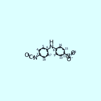 O=C=Nc1ccc(Nc2ccc([N+](=O)[O-])cc2)cc1